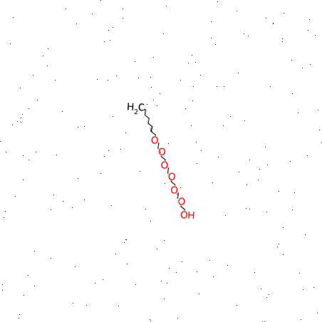 C=CCCCC=CCOCCOCCOCCOCCOCCOCCO